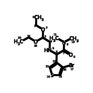 CCOC(CNC(C(=O)N(C)C)c1cscc1Br)OCC